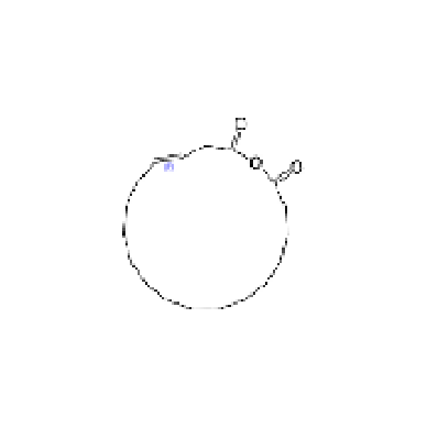 O=C1C/C=C/CCCCCCCCCCCCCC(=O)O1